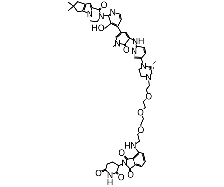 C[C@@H]1CN(CCOCCOCCOCCNc2cccc3c2C(=O)N(C2CCC(=O)NC2=O)C3=O)CCN1c1ccc(Nc2cc(-c3ccnc(N4CCn5c(cc6c5CC(C)(C)C6)C4=O)c3CO)cn(C)c2=O)nc1